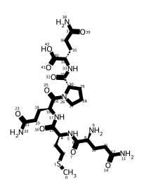 CSCC[C@H](NC(=O)[C@@H](N)CCC(N)=O)C(=O)N[C@@H](CCC(N)=O)C(=O)N1CCC[C@H]1C(=O)N[C@@H](CCC(N)=O)C(=O)O